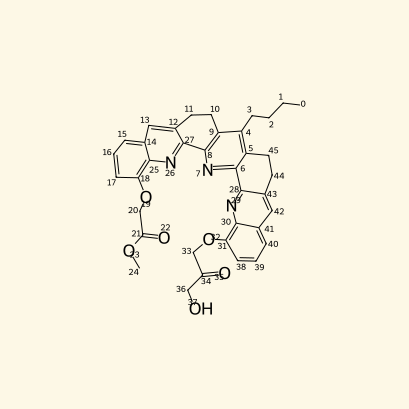 CCCCc1c2c(nc3c1CCc1cc4cccc(OCC(=O)OC)c4nc1-3)-c1nc3c(OCC(=O)CO)cccc3cc1CC2